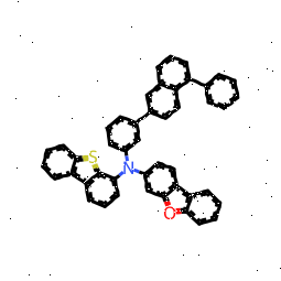 c1ccc(-c2cccc3cc(-c4cccc(N(c5ccc6c(c5)oc5ccccc56)c5cccc6c5sc5ccccc56)c4)ccc23)cc1